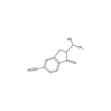 CC(O)C1Cc2cc(C#N)ccc2C1=O